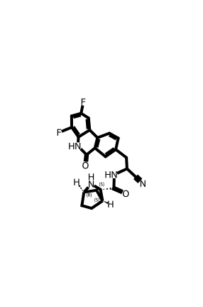 N#CC(Cc1ccc2c(c1)c(=O)[nH]c1c(F)cc(F)cc12)NC(=O)[C@H]1N[C@@H]2CC[C@H]1C2